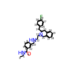 CCNC(=O)c1cccc(CNCCN2Cc3ccccc3CC2Cc2ccc(F)cc2)c1